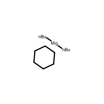 C1CCCCC1.CCC[CH2][Mg][CH2]CCC